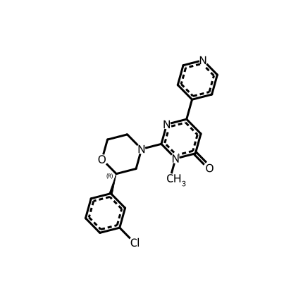 Cn1c(N2CCO[C@H](c3cccc(Cl)c3)C2)nc(-c2ccncc2)cc1=O